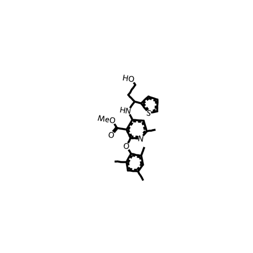 COC(=O)c1c(NC(CCO)c2cccs2)cc(C)nc1Oc1c(C)cc(C)cc1C